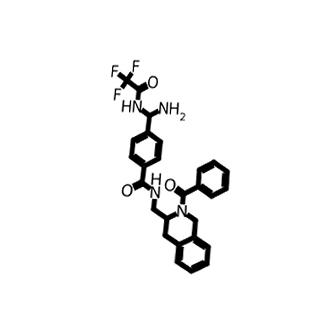 NC(NC(=O)C(F)(F)F)c1ccc(C(=O)NCC2Cc3ccccc3CN2C(=O)c2ccccc2)cc1